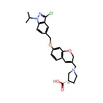 CC(C)n1nc(Cl)c2cc(COc3ccc4c(c3)OCC(CN3CC[C@H](C(=O)O)C3)=C4)ccc21